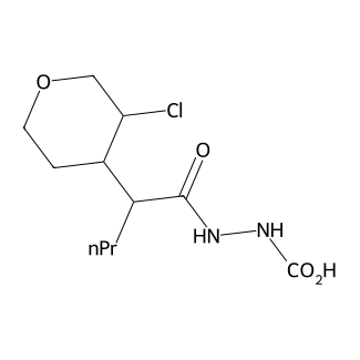 CCCC(C(=O)NNC(=O)O)C1CCOCC1Cl